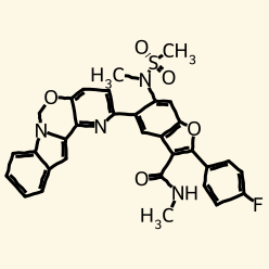 CNC(=O)c1c(-c2ccc(F)cc2)oc2cc(N(C)S(C)(=O)=O)c(-c3ccc4c(n3)-c3cc5ccccc5n3CO4)cc12